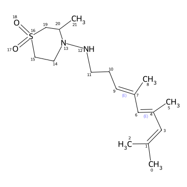 CC(C)=C/C(C)=C/C(C)=C/CCNN1CCS(=O)(=O)CC1C